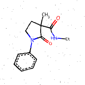 CCNC(=O)C1(C)CCN(c2ccccc2)C1=O